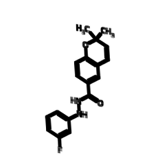 CC1(C)C=Cc2cc(C(=O)NNc3cccc(F)c3)ccc2O1